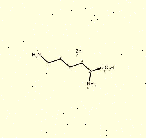 NCCCC[C@H](N)C(=O)O.[Zn]